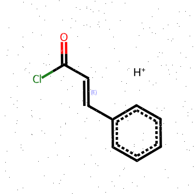 O=C(Cl)/C=C/c1ccccc1.[H+]